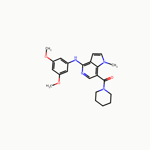 COc1cc(Nc2ncc(C(=O)N3CCCCC3)c3c2ccn3C)cc(OC)c1